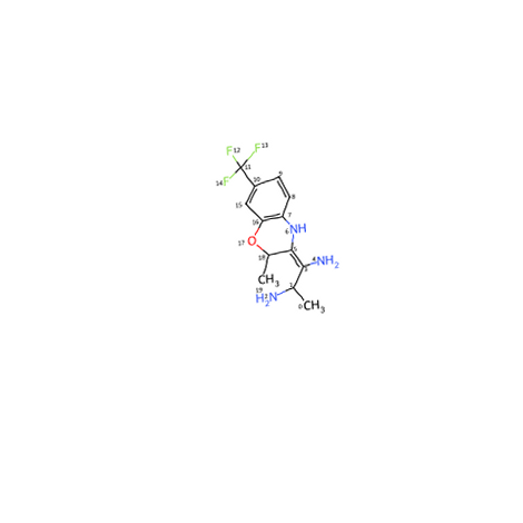 CC(N)/C(N)=C1/Nc2ccc(C(F)(F)F)cc2OC1C